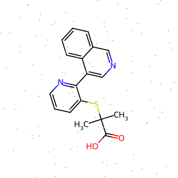 CC(C)(Sc1cccnc1-c1cncc2ccccc12)C(=O)O